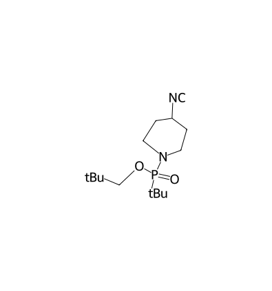 [C-]#[N+]C1CCN(P(=O)(OCC(C)(C)C)C(C)(C)C)CC1